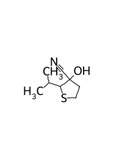 CC(C)C1SCCC1(O)C#N